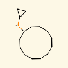 C1CCCCCC([P]C2CC2)CCCCC1